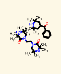 CC1(C)CC(C(=O)c2ccccc2)CC(C)(C)N1.CC1(C)CN(CCN2CC(C)(C)NC(C)(C)C2=O)C(=O)C(C)(C)N1